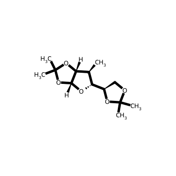 C[C@H]1[C@H]([C@H]2COC(C)(C)O2)O[C@@H]2OC(C)(C)O[C@@H]21